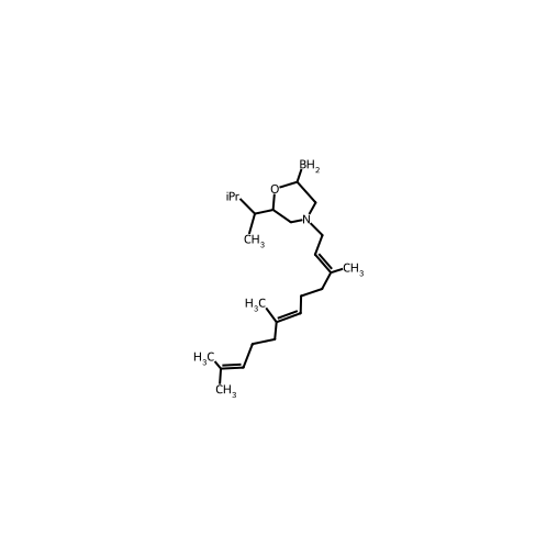 BC1CN(C/C=C(\C)CC/C=C(\C)CCC=C(C)C)CC(C(C)C(C)C)O1